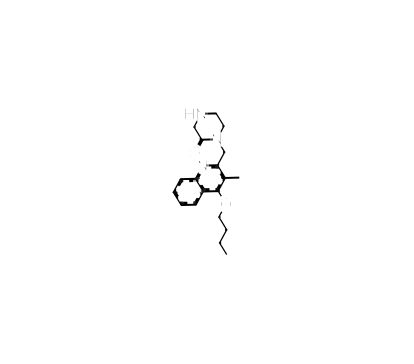 CCCCOc1c(C)c(CN2CCNCC2=O)nc2ccccc12